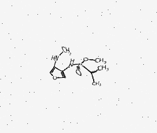 CNc1cocc1NP(=O)(OC)C(C)C